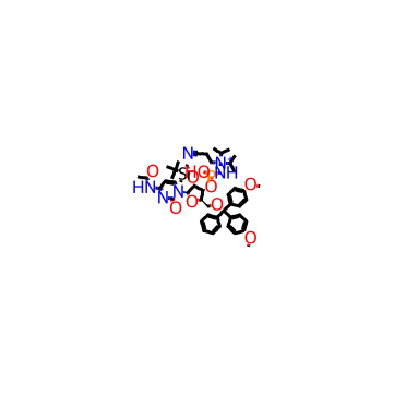 COc1ccc(C(OC[C@H]2O[C@@H](n3ccc(NC(C)=O)nc3=O)[C@H](O[Si](C)(C)C(C)(C)C)[C@@H]2OP(O)N[N+](CCC#N)(C(C)C)C(C)C)(c2ccccc2)c2ccc(OC)cc2)cc1